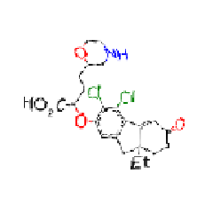 CCC12CCC(=O)C=C1c1c(cc(OC(CCC3CNCCO3)C(=O)O)c(Cl)c1Cl)C2